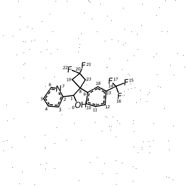 OC(c1ccccn1)C1(c2cccc(C(F)(F)F)c2)CC(F)(F)C1